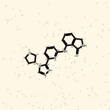 O=C1NCc2cccc(Nc3cccc(-c4nncn4[C@@H]4CCOC4)n3)c21